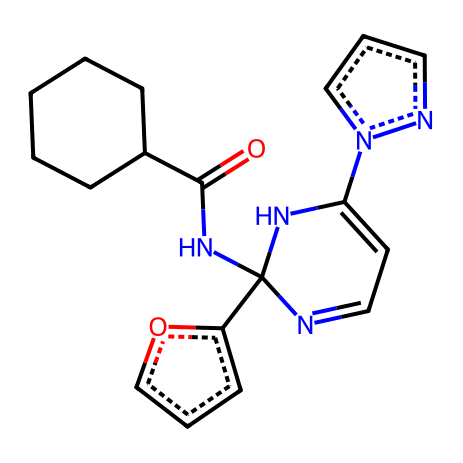 O=C(NC1(c2ccco2)N=CC=C(n2cccn2)N1)C1CCCCC1